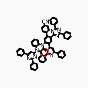 N#Cc1ccc(-c2cc(N3c4ccccc4N(c4cc(-c5ccccc5)nc(-c5ccccc5)n4)c4ccccc43)c(-c3cc(-c4ccccc4)nc(-c4ccccc4)n3)cc2-c2nc(-c3ccccc3)nc(-c3ccccc3)n2)cc1